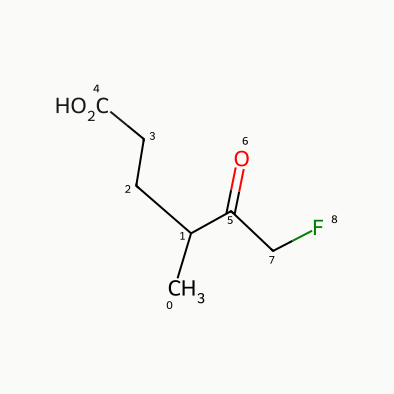 CC(CCC(=O)O)C(=O)CF